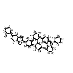 Cc1ccccc1-c1ccc2oc(-c3ccc(-c4ccccc4-c4ccccc4-c4ccc5c(c4)c4ccccc4n5-c4ccccc4)cc3)nc2c1